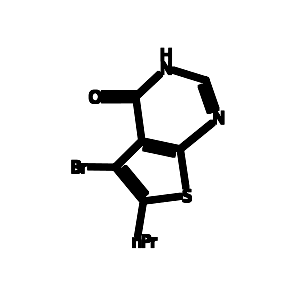 CCCc1sc2nc[nH]c(=O)c2c1Br